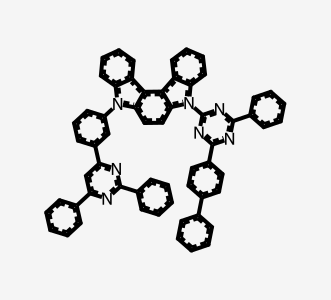 c1ccc(-c2ccc(-c3nc(-c4ccccc4)nc(-n4c5ccccc5c5c6c7ccccc7n(-c7cccc(-c8cc(-c9ccccc9)nc(-c9ccccc9)n8)c7)c6ccc54)n3)cc2)cc1